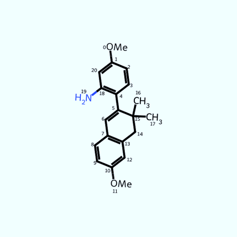 COc1ccc(C2=Cc3ccc(OC)cc3CC2(C)C)c(N)c1